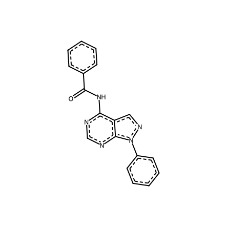 O=C(Nc1ncnc2c1cnn2-c1ccccc1)c1ccccc1